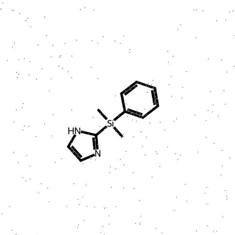 C[Si](C)(c1ccccc1)c1ncc[nH]1